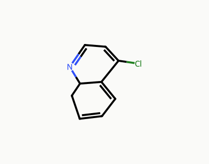 ClC1=CC=NC2CC=CC=C12